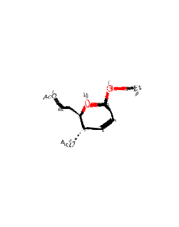 CCOC1C=C[C@H](OC(C)=O)[C@@H](COC(C)=O)O1